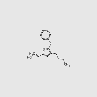 C=Cc1cn(CCCC)c(Cc2ccccc2)n1.Cl